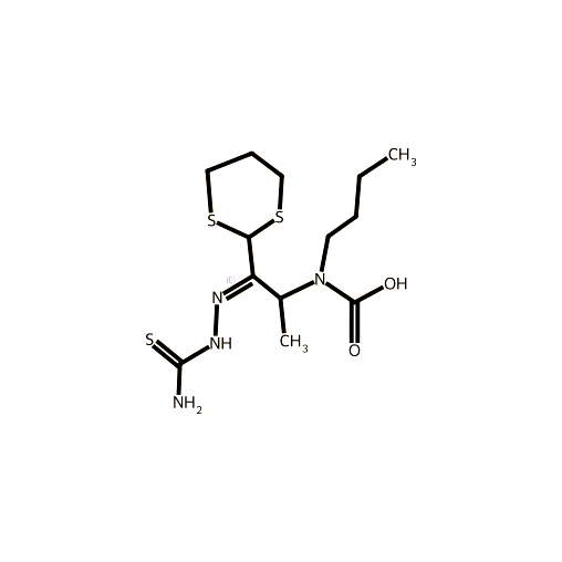 CCCCN(C(=O)O)C(C)/C(=N\NC(N)=S)C1SCCCS1